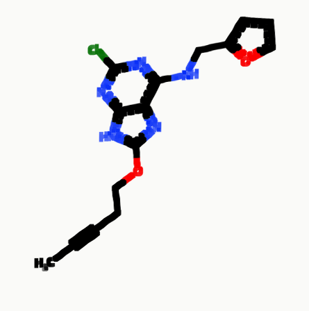 CC#CCCOc1nc2c(NCc3ccco3)nc(Cl)nc2[nH]1